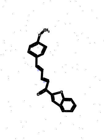 COc1ccc(/C=C/C=C/C(=O)c2cc3ccccc3o2)cc1